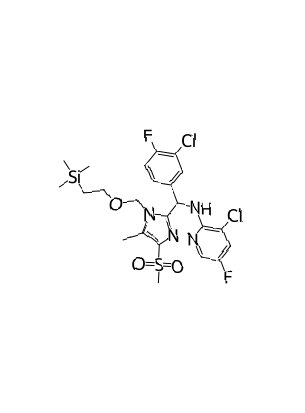 Cc1c(S(C)(=O)=O)nc(C(Nc2ncc(F)cc2Cl)c2ccc(F)c(Cl)c2)n1COCC[Si](C)(C)C